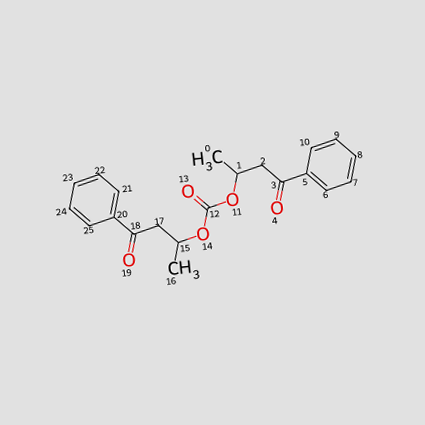 CC(CC(=O)c1ccccc1)OC(=O)OC(C)CC(=O)c1ccccc1